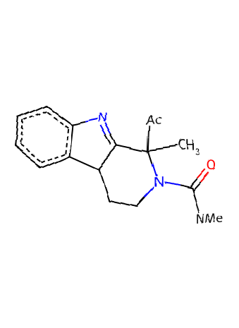 CNC(=O)N1CCC2C(=Nc3ccccc32)C1(C)C(C)=O